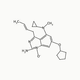 CC=CCc1nc(N)[n+]([O-])c2cc(OC3CCCC3)cc(N(C)C3CC3)c12